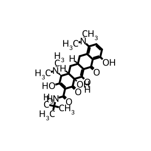 CN(C)c1ccc(O)c2c1C[C@H]1C[C@H]3[C@H](N(C)C)C(O)=C(C(=O)NC(C)(C)C)C(=O)[C@@]3(O)C(O)=C1C2=O